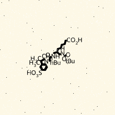 CCCCC(C(=O)NCC(CCCCCC(=O)O)CNC(=O)OC(C)(C)C)[N+]1=C(C)C(C)(C)c2cc(S(=O)(=O)O)ccc21